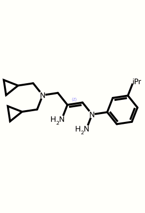 CC(C)c1cccc(N(N)/C=C(\N)CN(CC2CC2)CC2CC2)c1